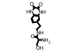 NC(CO)C(=O)NCCc1ccc2[nH]c(=O)c(=O)[nH]c2c1